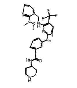 CSN(C)c1ncccc1CNc1nc(Nc2cccc(C(=O)NC3CCNCC3)c2)ncc1C(F)(F)F